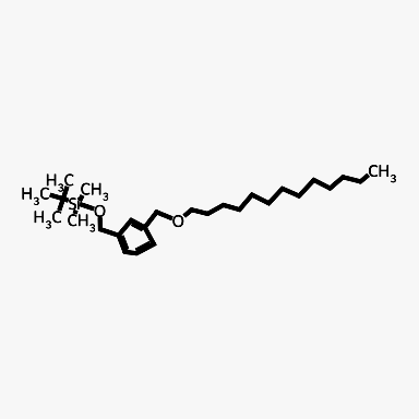 CCCCCCCCCCCCCOCc1cccc(CO[Si](C)(C)C(C)(C)C)c1